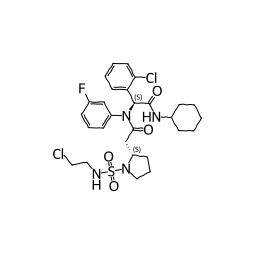 O=C(NC1CCCCC1)[C@H](c1ccccc1Cl)N(C(=O)C[C@@H]1CCCN1S(=O)(=O)NCCCl)c1cccc(F)c1